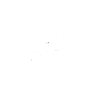 C=C(C)C(N)=O.O=S(=O)(O)O